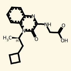 C[C@H](CC1CCC1)n1c(=O)c(NCC(=O)O)nc2ccccc21